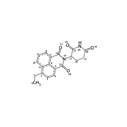 CCc1ccc2c3c(cccc13)C(=O)N(C1CCC(=O)NC1=O)C2=O